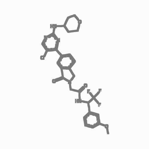 COc1cccc(C(NC(=O)CN2Cc3ccc(-c4nc(NC5CCOCC5)ncc4Cl)cc3C2=O)C(F)(F)F)c1